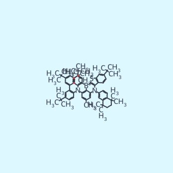 Cc1cc2c3c(c1)N(c1ccc4c(c1)C(C)(C)CCC4(C)C)c1c(sc4cc(C(C)(C)C)ccc14)B3c1cc(C(C)(C)C)ccc1N2c1ccc(C(C)(C)C)cc1-c1cc(C(C)(C)C)cc(C(C)(C)C)c1